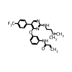 C=CC(=O)Nc1cccc(Oc2nc(NCCN(C)C)ncc2-c2ccc(C(F)(F)F)cc2)c1